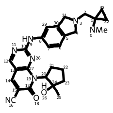 CNC1(CN2Cc3ccc(Nc4ncc5cc(C#N)c(=O)n(C6CCCC6(C)O)c5n4)cc3C2)CC1